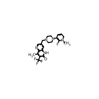 Cc1c(C(F)(F)F)c(=O)[nH]c2cc(CN3CCN(C4=C(F)N(C)CC=C4)CC3)cnc12